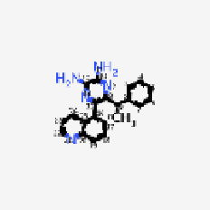 C[C@H](c1ccccc1)c1nc(N)c(N)nc1-c1cccc2ncccc12